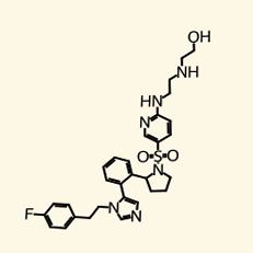 O=S(=O)(c1ccc(NCCNCCO)nc1)N1CCCC1c1ccccc1-c1cncn1CCc1ccc(F)cc1